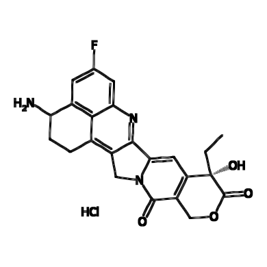 CC[C@@]1(O)C(=O)OCc2c1cc1n(c2=O)Cc2c-1nc1cc(F)cc3c1c2CCC3N.Cl